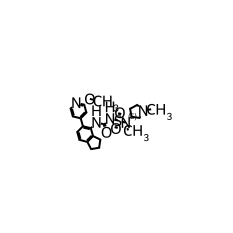 COc1cc(-c2ccc3c(c2NC(=O)NS(=O)(=O)N(C)[C@H]2CCN(C)C2)CCC3)ccn1